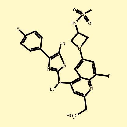 CCN(c1nc(-c2ccc(F)cc2)c(C#N)s1)c1cc(CC(=O)O)nc2c(F)cc(N3CC(NS(C)(=O)=O)C3)cc12